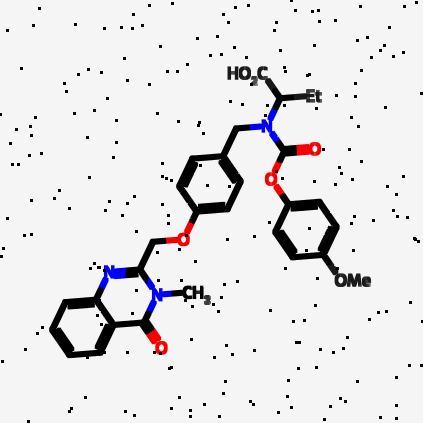 CCC(C(=O)O)N(Cc1ccc(OCc2nc3ccccc3c(=O)n2C)cc1)C(=O)Oc1ccc(OC)cc1